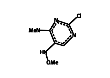 CNc1nc(Cl)ncc1NOC